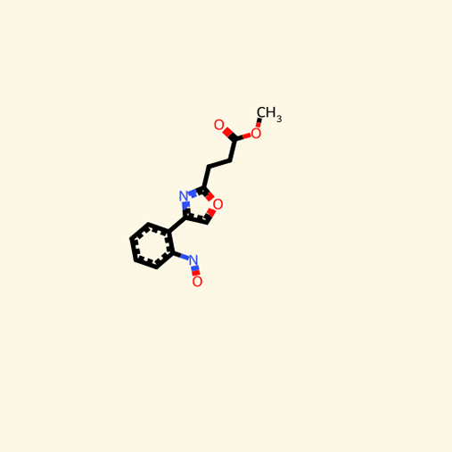 COC(=O)CCc1nc(-c2ccccc2N=O)co1